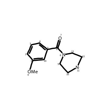 COc1cccc(C(=O)N2CC[N]CC2)c1